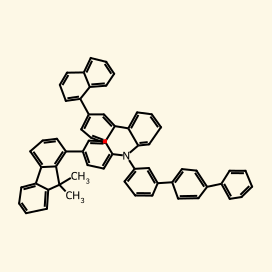 CC1(C)c2ccccc2-c2cccc(-c3ccc(N(c4cccc(-c5ccc(-c6ccccc6)cc5)c4)c4ccccc4-c4cccc(-c5cccc6ccccc56)c4)cc3)c21